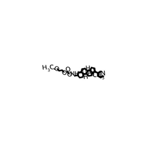 CCOCCOC(=O)ONCC1C=C2CC[C@H]3[C@H](CC[C@]4(C)C(c5cccnc5)=CC[C@@H]34)[C@@]2(C)CC1